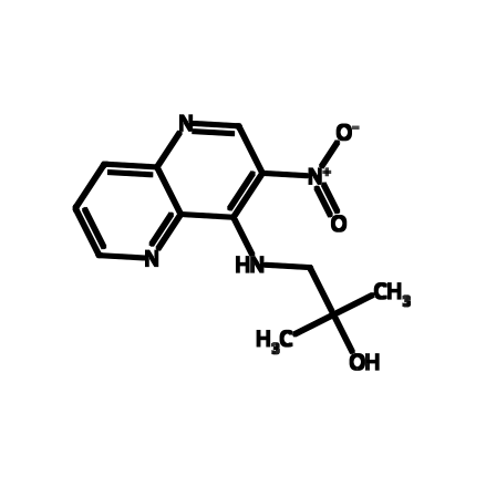 CC(C)(O)CNc1c([N+](=O)[O-])cnc2cccnc12